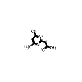 Cc1cc(Cl)nc(CC(=O)O)n1